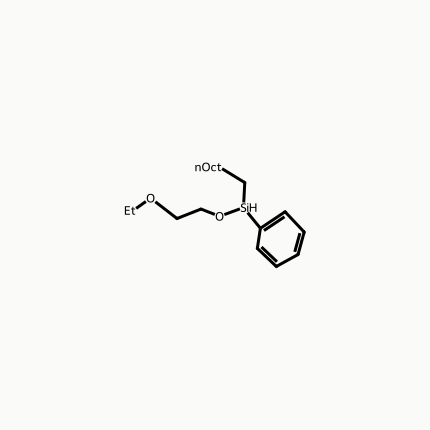 CCCCCCCCC[SiH](OCCOCC)c1ccccc1